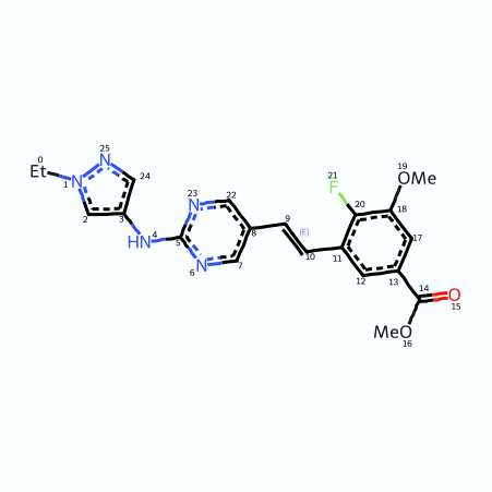 CCn1cc(Nc2ncc(/C=C/c3cc(C(=O)OC)cc(OC)c3F)cn2)cn1